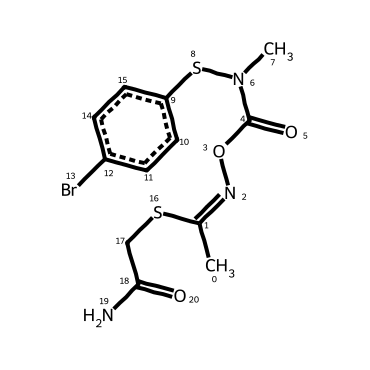 CC(=NOC(=O)N(C)Sc1ccc(Br)cc1)SCC(N)=O